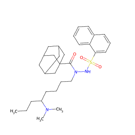 CCCC(CCCCN(NS(=O)(=O)c1cccc2ccccc12)C(=O)C12CC3CC(CC(C3)C1)C2)N(C)C